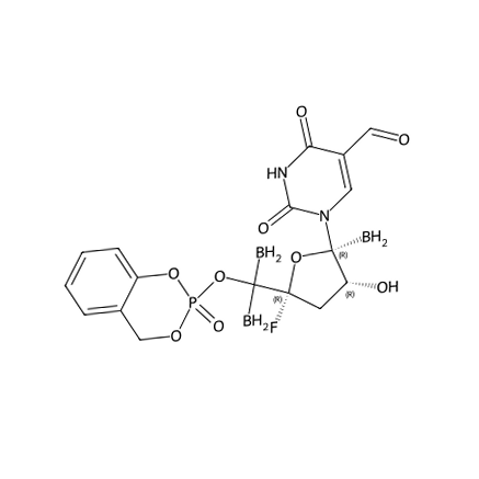 BC(B)(OP1(=O)OCc2ccccc2O1)[C@]1(F)C[C@@H](O)[C@](B)(n2cc(C=O)c(=O)[nH]c2=O)O1